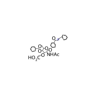 CC(=O)NC1C(Oc2ccc(C(=O)/C=C/c3ccccc3)cc2)OC2COC(c3ccccc3)OC2C1OCC(=O)O